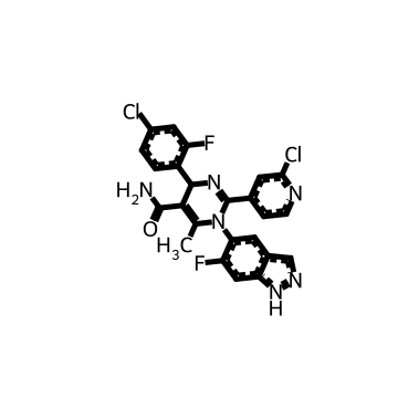 CC1=C(C(N)=O)C(c2ccc(Cl)cc2F)N=C(c2ccnc(Cl)c2)N1c1cc2cn[nH]c2cc1F